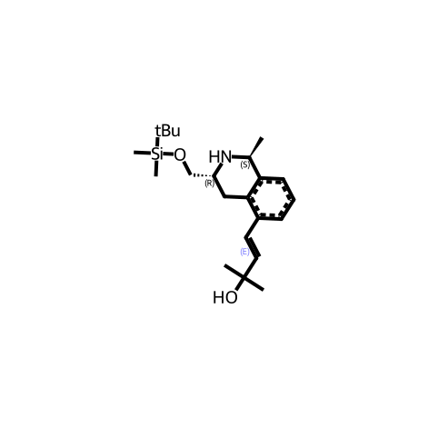 C[C@@H]1N[C@@H](CO[Si](C)(C)C(C)(C)C)Cc2c(/C=C/C(C)(C)O)cccc21